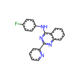 Fc1ccc(Nc2nc(-c3ccccn3)nc3ccccc23)cc1